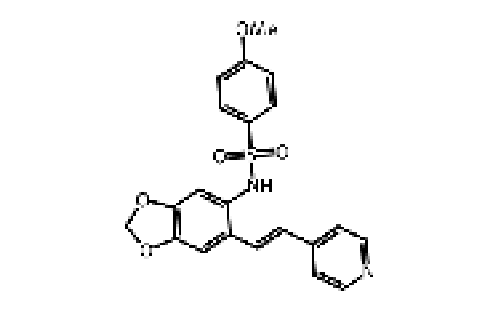 COc1ccc(S(=O)(=O)Nc2cc3c(cc2/C=C/c2ccncc2)OCO3)cc1